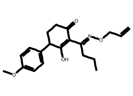 C=CCO/N=C(\CCC)C1=C(O)C(c2ccc(OC)cc2)CCC1=O